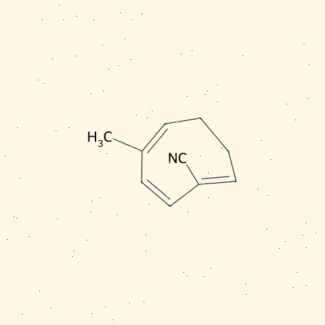 CC1=C/CC/C=C(C#N)/C=C\1